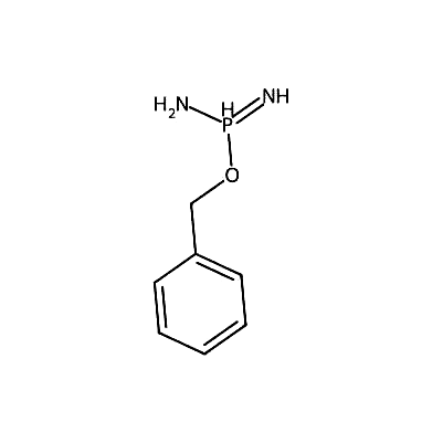 N=[PH](N)OCc1ccccc1